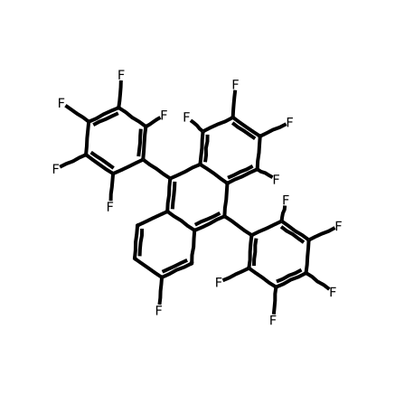 Fc1ccc2c(-c3c(F)c(F)c(F)c(F)c3F)c3c(F)c(F)c(F)c(F)c3c(-c3c(F)c(F)c(F)c(F)c3F)c2c1